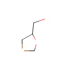 OCC1CSCO1